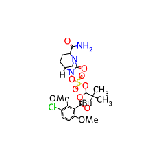 COc1ccc(Cl)c(OC)c1C(=O)OC(OS(=O)(=O)ON1C(=O)N2C[C@H]1CC[C@H]2C(N)=O)C(C)(C)C(C)(C)C